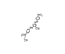 CCN(CCC#N)c1ccc(/N=N/c2sc(/N=N/c3ccc([N+](=O)[O-])cc3)cc2C#N)cc1